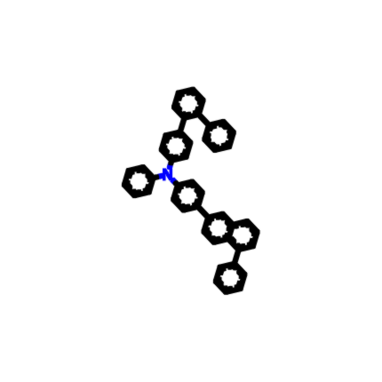 c1ccc(-c2ccccc2-c2ccc(N(c3ccccc3)c3ccc(-c4ccc5c(-c6ccccc6)cccc5c4)cc3)cc2)cc1